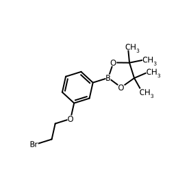 CC1(C)OB(c2cccc(OCCBr)c2)OC1(C)C